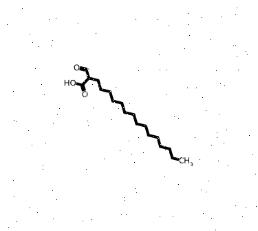 CCCCCCCCCCCCCCCC([C]=O)C(=O)O